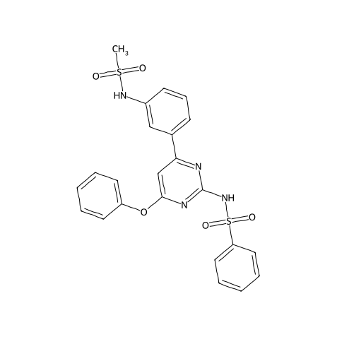 CS(=O)(=O)Nc1cccc(-c2cc(Oc3ccccc3)nc(NS(=O)(=O)c3ccccc3)n2)c1